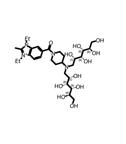 CCn1c(C)[n+](CC)c2ccc(C(=O)N3CCC(N(C[C@H](O)[C@@H](O)[C@H](O)[C@H](O)CO)C[C@H](O)[C@@H](O)[C@H](O)[C@H](O)CO)CC3)cc21